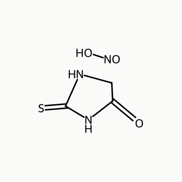 O=C1CNC(=S)N1.O=NO